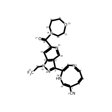 N#Cc1cccncc(-c2nn(CC(F)(F)F)c3cc(C(=O)N4CCCOCC4)ncc23)[nH]c1